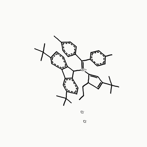 CCCC1C=C(C(C)(C)C)C=[C]1[Zr+2](=[C](c1ccc(C)cc1)c1ccc(C)cc1)[CH]1c2ccc(C(C)(C)C)cc2-c2cc(C(C)(C)C)ccc21.[Cl-].[Cl-]